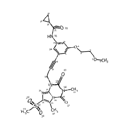 COCCOc1cc(C#CCn2c(=O)n(C)c(=O)n3c(C)c(S(C)(=O)=O)nc23)cc(NC(=O)C2CC2)c1